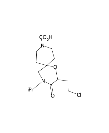 CC(C)N1CC2(CCN(C(=O)O)CC2)OC(CCCl)C1=O